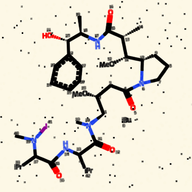 CC[C@H](C)[C@H]([C@@H](CC(=O)N1CCC[C@H]1[C@H](OC)[C@@H](C)C(=O)N[C@H](C)[C@@H](O)c1ccccc1)OC)N(C)C(=O)C(NC(=O)C(C(C)C)N(C)I)C(C)C